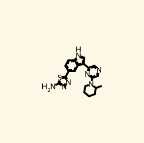 CC1CCCCN1c1cncc(-c2c[nH]c3ccc(-c4nnc(N)s4)cc23)n1